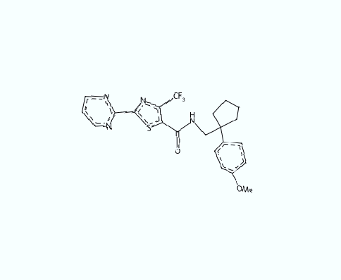 COc1ccc(C2(CNC(=O)c3sc(-c4ncccn4)nc3C(F)(F)F)CCCC2)cc1